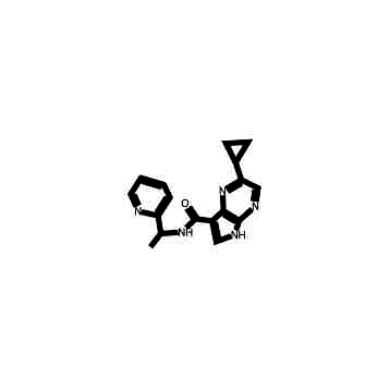 CC(NC(=O)c1c[nH]c2ncc(C3CC3)nc12)c1ccccn1